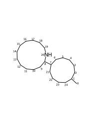 CC1CCCCCC(C2CCCCCCCCCCCN2)CCCC1